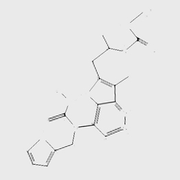 CC(Cc1sc2c(N(Cc3cccs3)C(=O)OC(C)(C)C)cnnc2c1O)NC(=O)OC(C)(C)C